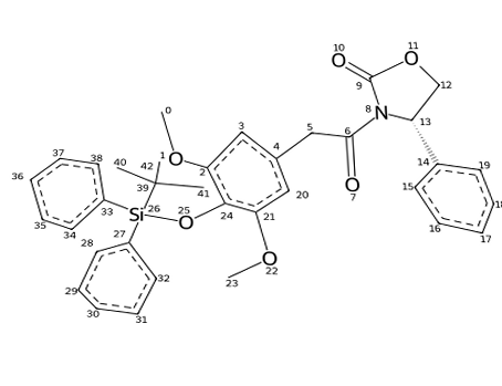 COc1cc(CC(=O)N2C(=O)OC[C@@H]2c2ccccc2)cc(OC)c1O[Si](c1ccccc1)(c1ccccc1)C(C)(C)C